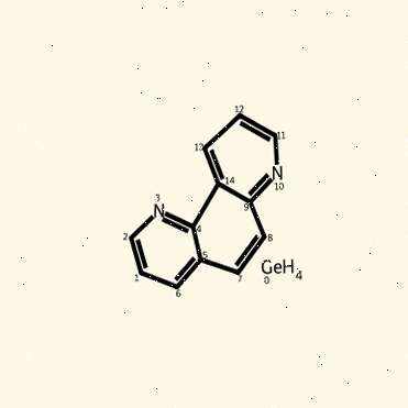 [GeH4].c1cnc2c(c1)ccc1ncccc12